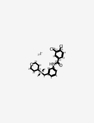 C[N+](C)(Cc1cccc(NC(=O)c2ccc(Cl)c(Cl)c2)c1)C1CCOCC1.[I-]